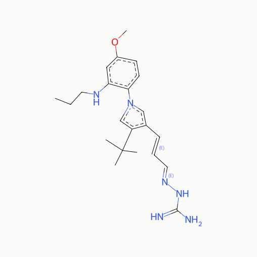 CCCNc1cc(OC)ccc1-n1cc(/C=C/C=N/NC(=N)N)c(C(C)(C)C)c1